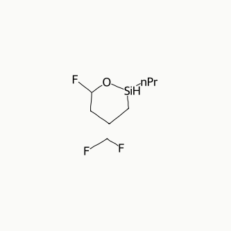 CCC[SiH]1CCCC(F)O1.FCF